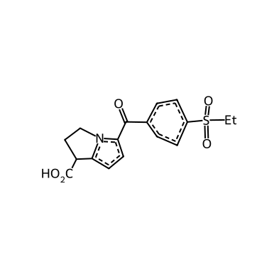 CCS(=O)(=O)c1ccc(C(=O)c2ccc3n2CCC3C(=O)O)cc1